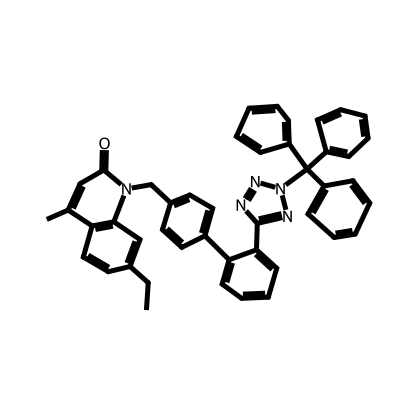 CCc1ccc2c(C)cc(=O)n(Cc3ccc(-c4ccccc4-c4nnn(C(c5ccccc5)(c5ccccc5)c5ccccc5)n4)cc3)c2c1